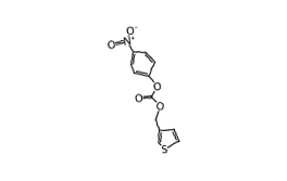 O=C(OCc1ccsc1)Oc1ccc([N+](=O)[O-])cc1